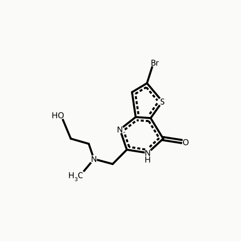 CN(CCO)Cc1nc2cc(Br)sc2c(=O)[nH]1